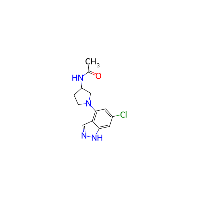 CC(=O)NC1CCN(c2cc(Cl)cc3[nH]ncc23)C1